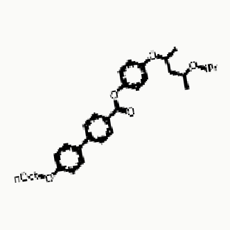 CCCCCCCCOc1ccc(-c2ccc(C(=O)Oc3ccc(OC(C)CC(C)OC(C)C)cc3)cc2)cc1